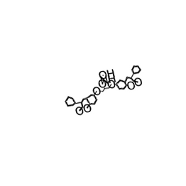 O=c1oc2ccc(OCC(COc3ccc4oc(=O)c(-c5ccccc5)cc4c3)ONO)cc2cc1-c1ccccc1